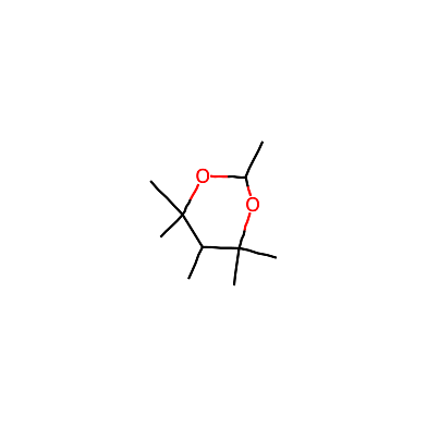 CC1OC(C)(C)C(C)C(C)(C)O1